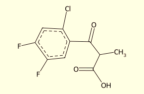 CC(C(=O)O)C(=O)c1cc(F)c(F)cc1Cl